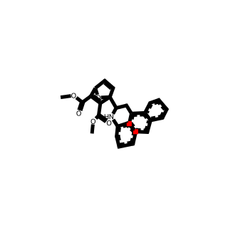 COC(=O)C1=C(C(=O)OC)C2(C(Cc3cccc4ccccc34)Nc3ccccc3)C=CC1O2